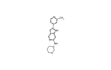 Cc1cc(-c2cc3cnc(N[C@H]4CCCOC4)cc3[nH]2)ccn1